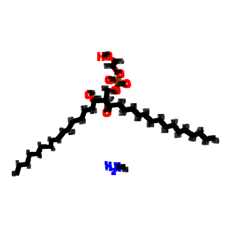 CCCCCCCCCCCCCCCC(=O)C(COS(=O)(=O)OCCO)C(=O)CCCCCCCCCCCCCCC.CN